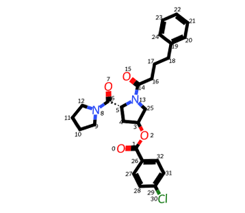 O=C(OC1C[C@H](C(=O)N2CCCC2)N(C(=O)CCCc2ccccc2)C1)c1ccc(Cl)cc1